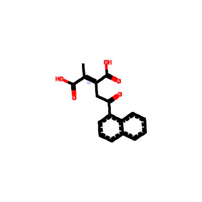 C/C(C(=O)O)=C(/CC(=O)c1cccc2ccccc12)C(=O)O